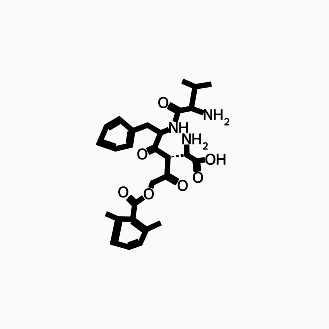 Cc1cccc(C)c1C(=O)OCC(=O)[C@H](C(=O)C(Cc1ccccc1)NC(=O)C(N)C(C)C)C(N)C(=O)O